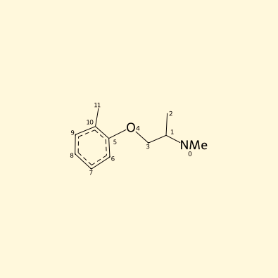 CNC(C)COc1ccccc1C